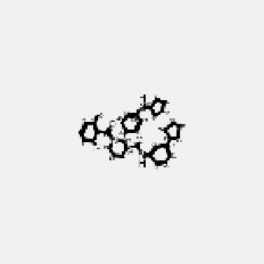 Cc1cccc(F)c1C(=O)N1CCC[C@H](C(=O)Nc2cccc(C3CCCC3)c2)[C@@H]1C1C=CC(NC2CCCC2)=CC1